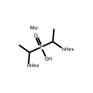 CCCCCCC(C)P(=O)(O)C(C)CCCCCC.[Mo]